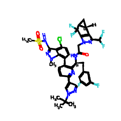 Cn1nc(NS(C)(=O)=O)c2c(Cl)ccc(-c3ccc(-c4cnn(C(C)(C)C)c4)nc3[C@H](Cc3cc(F)cc(F)c3)NC(=O)Cn3nc(C(F)F)c4c3C(F)(F)C3C[C@H]43)c21